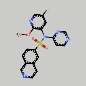 COc1ncc(Cl)cc1N(c1ccncn1)S(=O)(=O)c1ccc2cnccc2c1